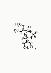 CCN(CC)P1(F)=NP(F)(F)=NP(F)(N(CC)CC)=N1